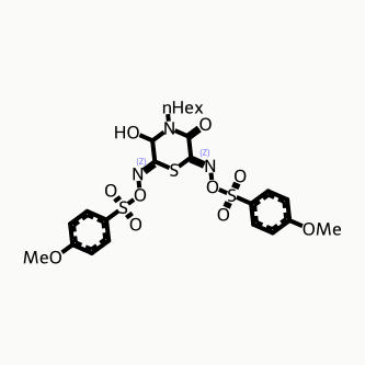 CCCCCCN1C(=O)/C(=N/OS(=O)(=O)c2ccc(OC)cc2)S/C(=N\OS(=O)(=O)c2ccc(OC)cc2)C1O